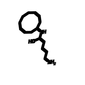 NCCCCC(O)NC1CCCCCCCCC1